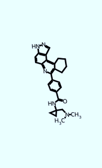 CN(C)CC1(NC(=O)c2ccc(-c3nc4ccc5[nH]ncc5c4c4c3CCCC4)cc2)CC1